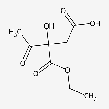 CCOC(=O)C(O)(CC(=O)O)C(C)=O